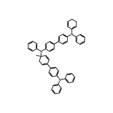 CC1(N(c2ccccc2)c2ccc(-c3ccc(N(C4=CCCC=C4)c4ccccc4)cc3)cc2)C=CC(c2ccc(N(c3ccccc3)c3ccccc3)cc2)=CC1